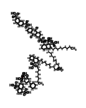 CCCCCCCCCc1c(S(=O)(=O)O)c(S(=O)(=O)O)c2ccccc2c1CCCCCCCCC.CCCCCCCCCc1cc2ccccc2c(S(=O)(=O)O)c1CCCCCCCCC.O=C1c2ccccc2C(=O)c2cc(S(=O)(=O)O)ccc21.O=S(=O)(O)C1(S(=O)(=O)O)C=CC(c2ccccc2)=CC1.O=S(=O)(O)c1ccc2ccc(S(=O)(=O)O)cc2c1.O=S(=O)(O)c1cccc2c(S(=O)(=O)O)cccc12